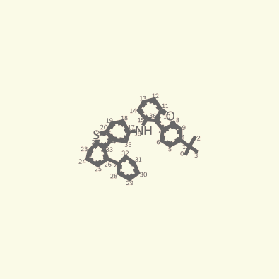 CC(C)(C)c1ccc2c(c1)oc1cccc(Nc3ccc4sc5cccc(-c6ccccc6)c5c4c3)c12